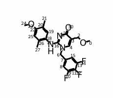 COCc1cn(Cc2cc(F)c(F)c(F)c2)c(Nc2cc(C)c(OC)cc2C)nc1=O